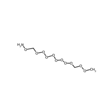 COOCOOOOOOOOCON